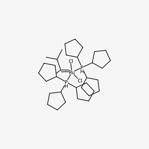 C[C](C(C)C)=[Ru]([Cl])([Cl])([PH](C1CCCC1)(C1CCCC1)C1CCCC1)[PH](C1CCCC1)(C1CCCC1)C1CCCC1